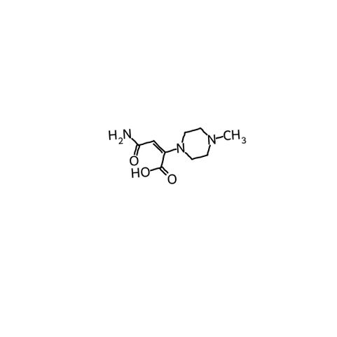 CN1CCN(/C(=C/C(N)=O)C(=O)O)CC1